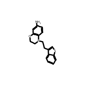 Nc1ccc2c(c1)OCCN2CCc1csc2ccccc12